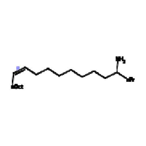 CCCCCCCC/C=C\CCCCCCCC(N)CCC